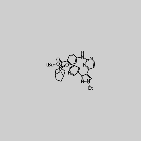 CCn1cc(-c2ccnc(Nc3ccc(C(=O)N4CC5CCC(C4)N5C(=O)OC(C)(C)C)cc3)n2)c(-c2cccnc2)n1